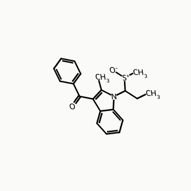 CCC(n1c(C)c(C(=O)c2ccccc2)c2ccccc21)[S+](C)[O-]